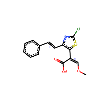 CO/C=C(\C(=O)O)c1sc(Cl)nc1/C=C/c1ccccc1